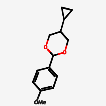 COc1ccc(C2OCC(C3CC3)CO2)cc1